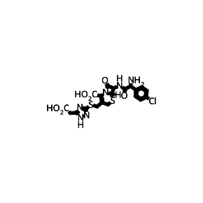 NC(C(=O)NC1C(=O)N2C(C(=O)O)=C(CSc3n[nH]c(CC(=O)O)n3)CS[C@@H]12)c1ccc(Cl)cc1